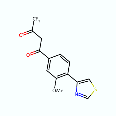 COc1cc(C(=O)CC(=O)C(F)(F)F)ccc1-c1cscn1